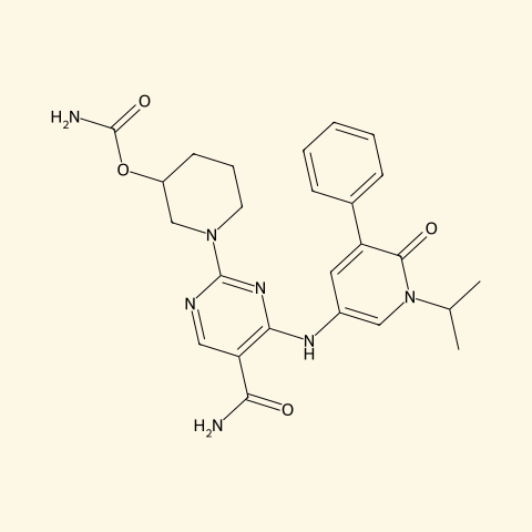 CC(C)n1cc(Nc2nc(N3CCCC(OC(N)=O)C3)ncc2C(N)=O)cc(-c2ccccc2)c1=O